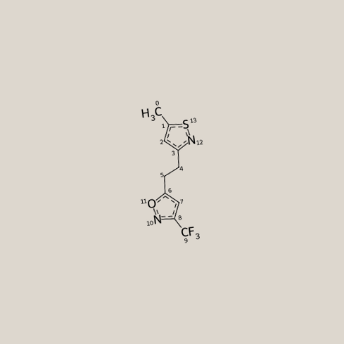 Cc1cc(CCc2cc(C(F)(F)F)no2)ns1